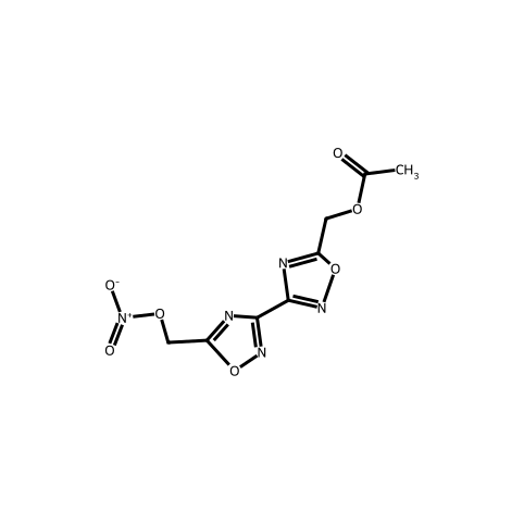 CC(=O)OCc1nc(-c2noc(CO[N+](=O)[O-])n2)no1